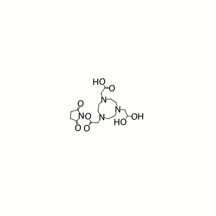 O=C(O)CN1CCN(CC(=O)ON2C(=O)CCC2=O)CCN(CC(O)O)CC1